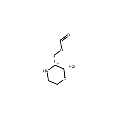 Cl.O=COC[C@@H]1COCCN1